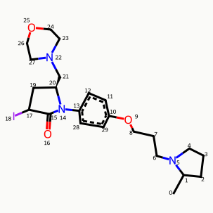 CC1CCCN1CCCOc1ccc(N2C(=O)C(I)C[C@H]2CN2CCOCC2)cc1